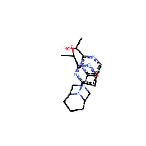 CC(O)c1nccc(N2CC3CCCC(C2)N3c2ccnc(C(C)O)n2)n1